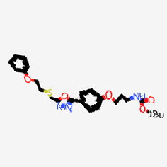 CC(C)(C)OC(=O)NCCCOc1ccc(-c2nnc(CSCCOc3ccccc3)o2)cc1